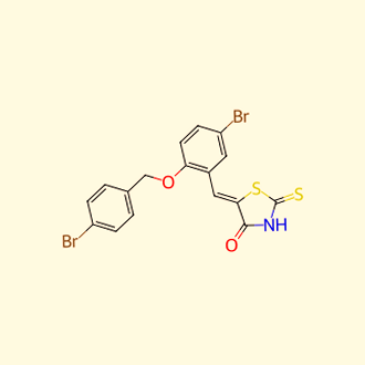 O=C1NC(=S)S/C1=C\c1cc(Br)ccc1OCc1ccc(Br)cc1